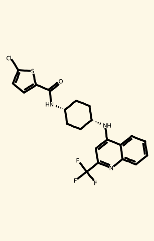 O=C(N[C@H]1CC[C@@H](Nc2cc(C(F)(F)F)nc3ccccc23)CC1)c1ccc(Cl)s1